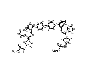 COC(=O)N[C@H]1CCC(C(=O)N2CCC[C@H]2c2ncc(-c3ccc(-c4ccc(-c5cnc([C@@H]6CCCN6C(=O)[C@@H]6CC[C@H](NC(=O)OC)C6)[nH]5)cc4)cc3)[nH]2)C1